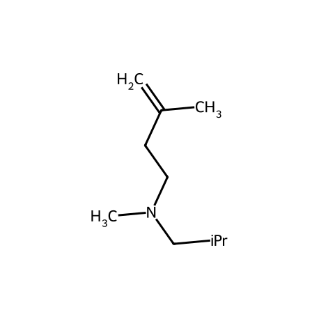 C=C(C)CCN(C)CC(C)C